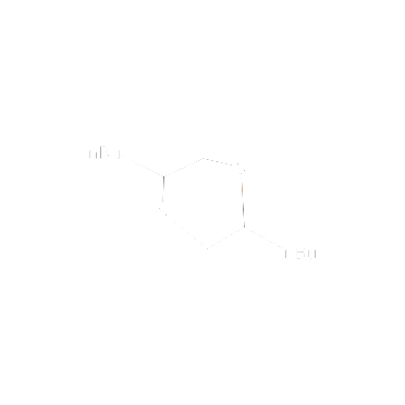 CCCCC1CSC(CCCC)CS1